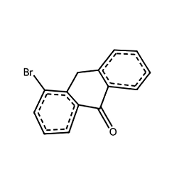 O=C1c2ccccc2Cc2c(Br)cccc21